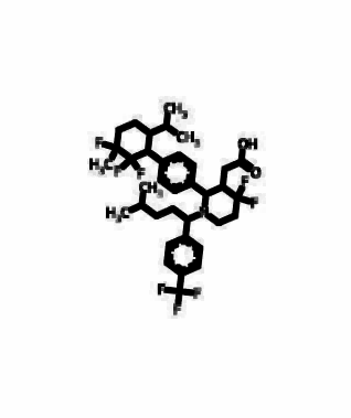 CC(C)CCC(c1ccc(C(F)(F)F)cc1)N1CCC(F)(F)C(CC(=O)O)C1c1ccc(C2C(C(C)C)CCC(C)(F)C2(F)F)cc1